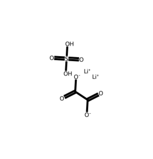 O=C([O-])C(=O)[O-].O=S(=O)(O)O.[Li+].[Li+]